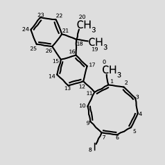 Cc1cccccc(I)ccc1-c1ccc2c(c1)C(C)(C)c1ccccc1-2